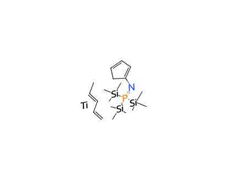 C=CC=CC.C[Si](C)(C)P(=NC1=CC=CC1)([Si](C)(C)C)[Si](C)(C)C.[Ti]